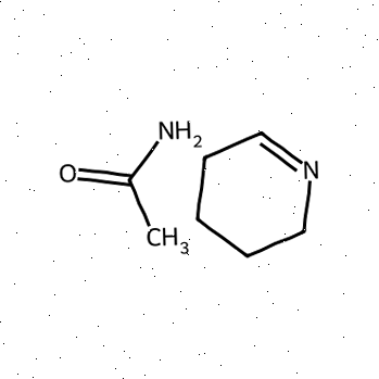 C1=NCCCC1.CC(N)=O